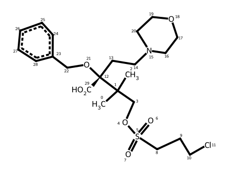 CC(C)(COS(=O)(=O)CCCCl)[C@@](CCN1CCOCC1)(OCc1ccccc1)C(=O)O